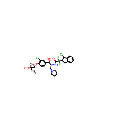 CC(C)(O)COc1ccc([C@@H](O)[C@@H](CN2CCCC2)NC(=O)C(F)(F)C2Cc3ccccc3C2Cl)cc1Cl